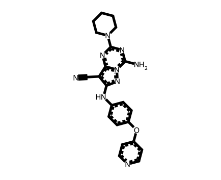 N#Cc1c(Nc2ccc(Oc3ccncc3)cc2)nn2c(N)nc(N3CCCCC3)nc12